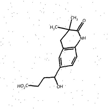 CC1(C)Cc2cc(C(O)CCC(=O)O)ccc2NC1=O